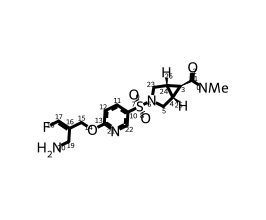 CNC(=O)[C@H]1[C@@H]2CN(S(=O)(=O)c3ccc(OC/C(=C/F)CN)nc3)C[C@@H]21